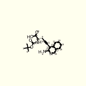 CC(C)(C)OC(=O)N[C@@H](CC#Cc1c(N)ncc2ccccc12)C(=O)O